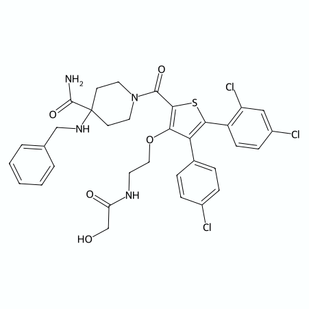 NC(=O)C1(NCc2ccccc2)CCN(C(=O)c2sc(-c3ccc(Cl)cc3Cl)c(-c3ccc(Cl)cc3)c2OCCNC(=O)CO)CC1